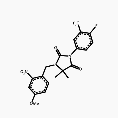 COc1ccc(CN2C(=O)N(c3ccc(F)c(C(F)(F)F)c3)C(=O)C2(C)C)c([N+](=O)[O-])c1